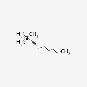 CCCCCCC#C[Si](C)(C)C